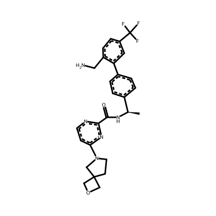 C[C@@H](NC(=O)c1nccc(N2CCC3(COC3)C2)n1)c1ccc(-c2cc(C(F)(F)F)ccc2CN)cc1